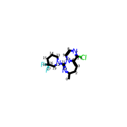 CC1CC=C2C(Cl)=NC=CN2C(N2CCCC(F)(F)C2)=N1